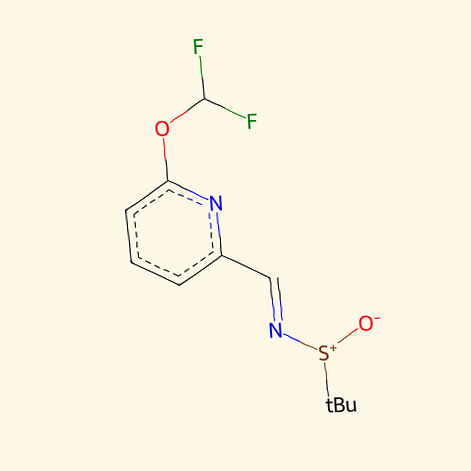 CC(C)(C)[S+]([O-])N=Cc1cccc(OC(F)F)n1